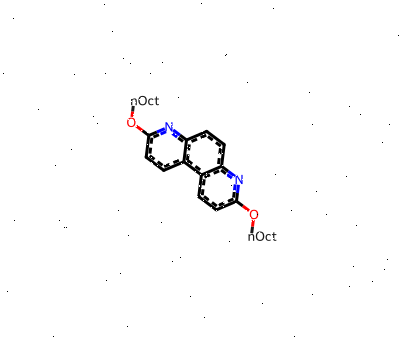 CCCCCCCCOc1ccc2c(ccc3nc(OCCCCCCCC)ccc32)n1